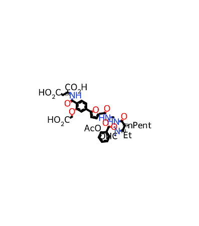 CCCCC[C@@H](C(=O)NCNC(=O)c1ccc(-c2ccc(C(=O)N[C@@H](CC(=O)O)C(=O)O)c(OCC(=O)O)c2)o1)[C@@H](CC)N(C=O)OC(=O)c1ccccc1OC(C)=O